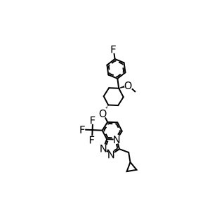 CO[C@]1(c2ccc(F)cc2)CC[C@@H](Oc2ccn3c(CC4CC4)nnc3c2C(F)(F)F)CC1